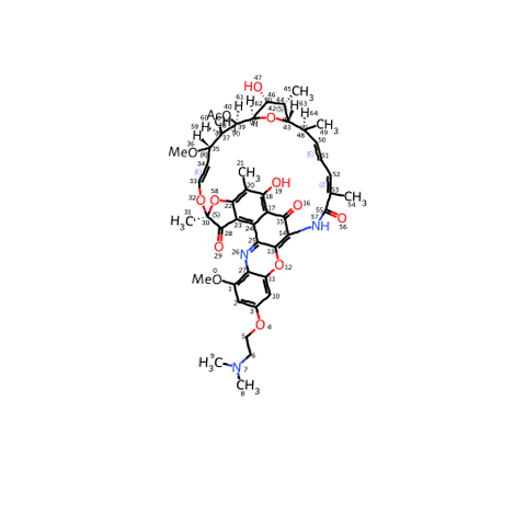 COc1cc(OCCN(C)C)cc2oc3c4c(=O)c5c(O)c(C)c6c(c5c-3nc12)C(=O)[C@@](C)(O/C=C/[C@H](OC)[C@@H](C)[C@@H](OC(C)=O)[C@@H]1O[C@H]([C@@H](C)[C@H]1O)[C@@H](C)/C=C/C=C(/C)C(=O)N4)O6